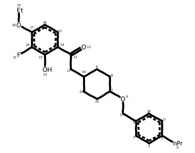 CCCc1ccc(COC2CCC(CC(=O)c3ccc(OCC)c(F)c3O)CC2)cc1